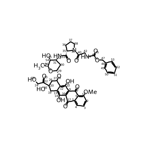 COc1cccc2c1C(=O)c1c(O)c3c(c(O)c1C2=O)C[C@@](O)(C(=O)CO)CC3O[C@H]1C[C@H](NC(=O)[C@@H]2CCCN2C(=O)CNC(=O)OCc2ccccc2)[C@H](O)[C@H](C)O1